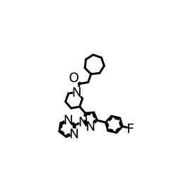 O=C(CC1CCCCCC1)N1CCCC(c2cc(-c3ccc(F)cc3)nn2-c2ncccn2)C1